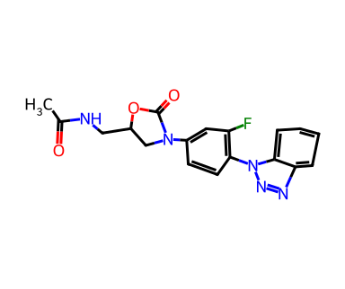 CC(=O)NCC1CN(c2ccc(-n3nnc4ccccc43)c(F)c2)C(=O)O1